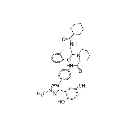 Cc1ccc(O)c(-c2nn(C)cc2-c2ccc(NC(=O)C3CCCCN3C(=O)[C@H](Cc3ccccc3)NC(=O)C3CCCCC3)cc2)c1